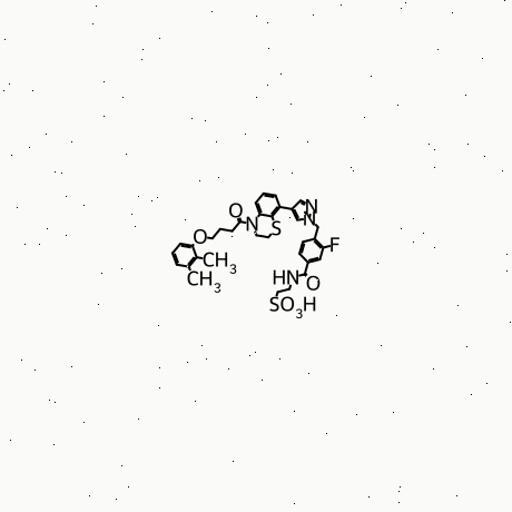 Cc1cccc(OCCCC(=O)N2CCSc3c(-c4cnn(Cc5ccc(C(=O)NCCS(=O)(=O)O)cc5F)c4)cccc32)c1C